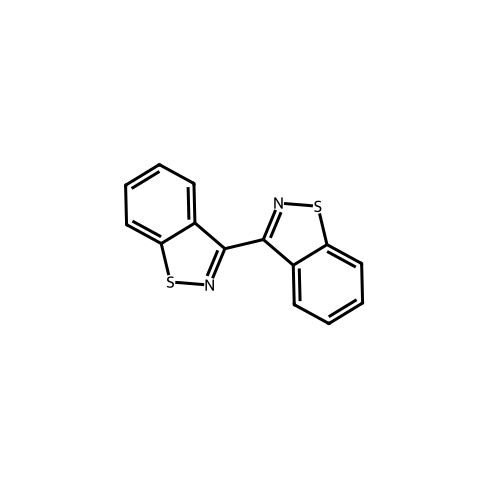 c1ccc2c(-c3nsc4ccccc34)nsc2c1